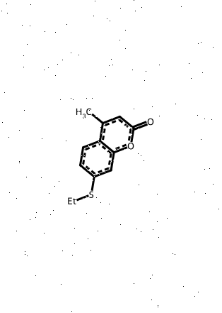 CCSc1ccc2c(C)cc(=O)oc2c1